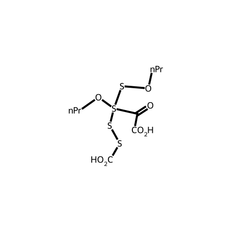 CCCOSS(OCCC)(SSC(=O)O)C(=O)C(=O)O